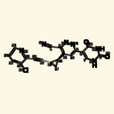 N#Cc1nnc(-c2c[nH]c(=O)[nH]c2=O)cc1[C@H]1C[C@@H]1C#Cc1ncccc1Cl